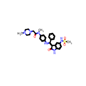 CN1CCN(CC(=O)N(C)c2ccc(N/C(=C3\C(=O)Nc4ccc(NS(C)(=O)=O)cc43)c3ccccc3)cc2)CC1